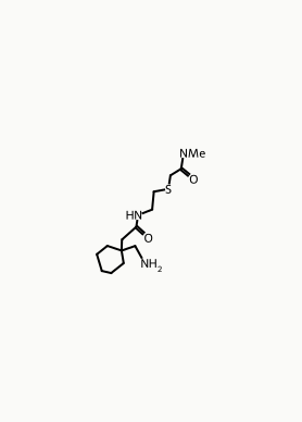 CNC(=O)CSCCNC(=O)CC1(CN)CCCCC1